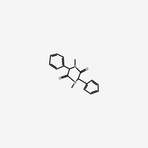 CN1C(=O)C(c2ccccc2)N(C)C(=O)C1c1ccccc1